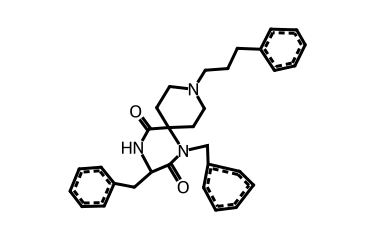 O=C1C(Cc2ccccc2)NC(=O)C2(CCN(CCCc3ccccc3)CC2)N1Cc1ccccc1